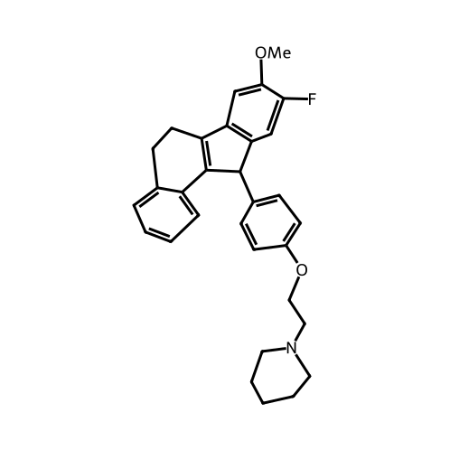 COc1cc2c(cc1F)C(c1ccc(OCCN3CCCCC3)cc1)C1=C2CCc2ccccc21